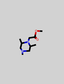 COC(=O)CN1C(C)CN(C)CC1C